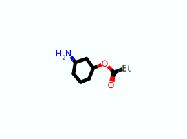 CCC(=O)OC1CCCC(N)C1